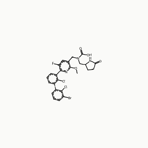 COc1nc(-c2cccc(-c3cccc(Br)c3Cl)c2Cl)c(F)cc1CN(CC1CCC(=O)N1)C(=O)O